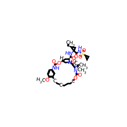 C=C[C@@H]1C[C@]1(NC(=O)[C@@H]1C[C@@H]2CN1C(=O)[C@H](C(C)(C)C)NC(=O)OCCCCCCCc1cc(ccc1OC)NC(=O)O2)C(=O)NS(=O)(=O)C1CC1